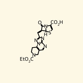 CCOC(=O)N1CCc2c(cnc3nc(/C=C4/C(=O)N5C(C(=O)O)=CS[C@H]45)nn23)C1